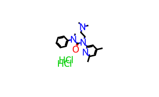 Cc1cc(C)nc(N(CCN(C)C)C(=O)N(C)c2ccccc2)c1.Cl.Cl